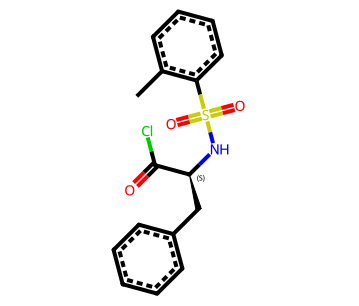 Cc1ccccc1S(=O)(=O)N[C@@H](Cc1ccccc1)C(=O)Cl